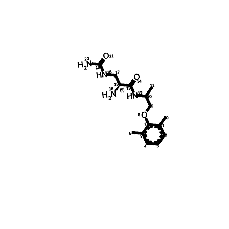 Cc1cccc(C)c1OCC(C)NC(=O)[C@@H](N)CNC(N)=O